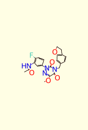 COc1nn(-c2ccc(F)c(NC(C)=O)c2)c(=O)n(Cc2ccc3c(c2)OCC3)c1=O